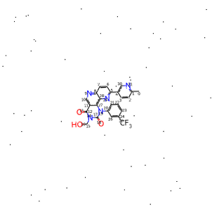 Cc1ccc(-c2ccc3ncc4c(=O)n(CO)c(=O)n(-c5cccc(C(F)(F)F)c5)c4c3n2)cn1